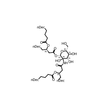 CCCCCCCCCCCCCC(=O)O[C@H](CCCCCCCCCCC)CC(=O)N[C@]1(O)[C@H](OC(=O)C[C@@H](CCCCCCCCCCC)OC(=O)CCCCCCCCCCCCC)O[C@H](CO)[C@@H](O)[C@@H]1O